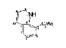 COc1cccc2c1NCC=C2